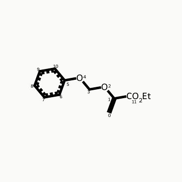 C=C(OCOc1ccccc1)C(=O)OCC